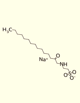 CCCCCCCCCCCCCC(=O)CNCCS(=O)(=O)[O-].[Na+]